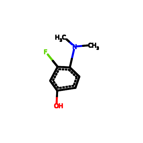 CN(C)c1ccc(O)cc1F